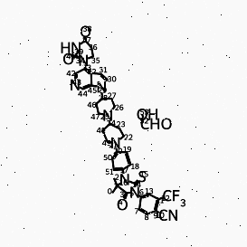 CC1(C)C(=O)N(c2ccc(C#N)c(C(F)(F)F)c2)C(=S)N1c1ccc(N2CCC(N3CCC(n4ccc5c(N6CCC(=O)NC6=O)cncc54)CC3)CC2)cc1.O=CO